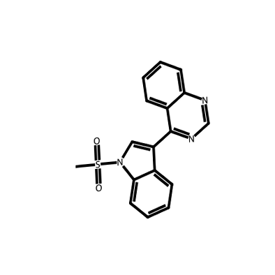 CS(=O)(=O)n1cc(-c2ncnc3ccccc23)c2ccccc21